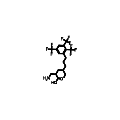 CCC(CCCc1cc(C(F)(F)F)cc(C(F)(F)F)c1C(F)(F)F)CC(CN)C(=O)O